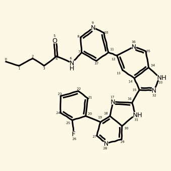 CCCCC(=O)Nc1cncc(-c2cc3c(-c4nc5c(-c6ccccc6F)cncc5[nH]4)n[nH]c3cn2)c1